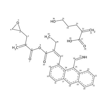 C=C(CC1CO1)C(=O)OC(=O)C(=Cc1cccc2cc3ccccc3c(C=N)c12)CC.C=C(CCCO)C(=O)O